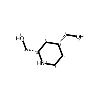 OC[C@@H]1CCN[C@H](CO)C1